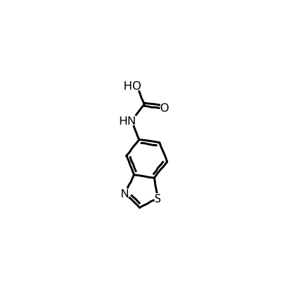 O=C(O)Nc1ccc2scnc2c1